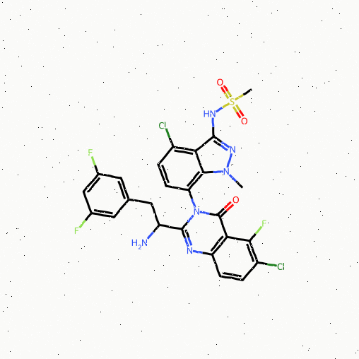 Cn1nc(NS(C)(=O)=O)c2c(Cl)ccc(-n3c(C(N)Cc4cc(F)cc(F)c4)nc4ccc(Cl)c(F)c4c3=O)c21